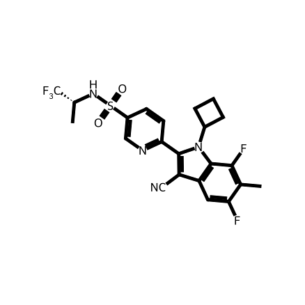 Cc1c(F)cc2c(C#N)c(-c3ccc(S(=O)(=O)N[C@H](C)C(F)(F)F)cn3)n(C3CCC3)c2c1F